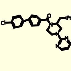 CC(C)CC1CN(c2ncccn2)CCN1C(=O)c1ccc(-c2ccc(Cl)cc2)cc1